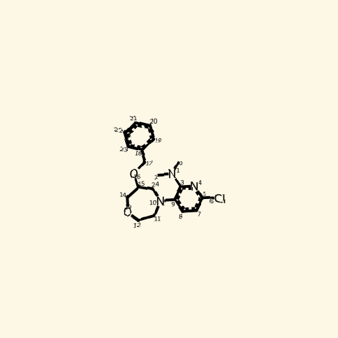 CN(C)c1nc(Cl)ccc1N1CCOCC(OCc2ccccc2)C1